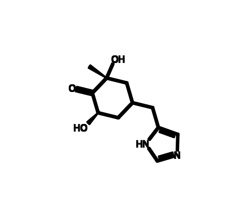 C[C@@]1(O)CC(Cc2cnc[nH]2)C[C@@H](O)C1=O